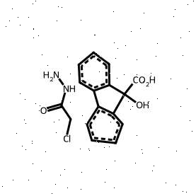 NNC(=O)CCl.O=C(O)C1(O)c2ccccc2-c2ccccc21